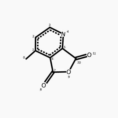 Cc1ccnc2c1C(=O)OC2=O